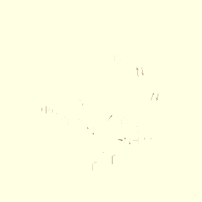 Cc1ccc(CN)nc1Oc1cccc(C[C@H]2[C@@H](NS(C)(=O)=O)C(F)(F)CN2C(=O)OC(C)(C)C)c1